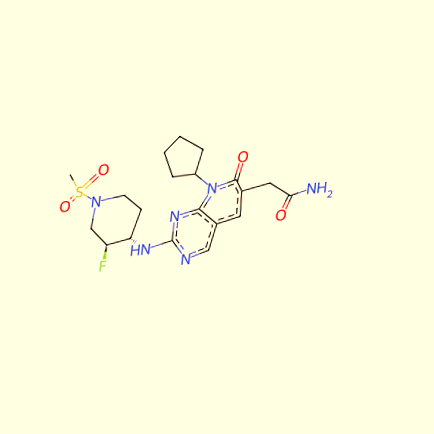 CS(=O)(=O)N1CC[C@H](Nc2ncc3cc(CC(N)=O)c(=O)n(C4CCCC4)c3n2)[C@@H](F)C1